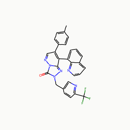 Cc1ccc(-c2cnn3c(=O)n(Cc4ccc(C(F)(F)F)nc4)nc3c2-c2cccc3cccnc23)cc1